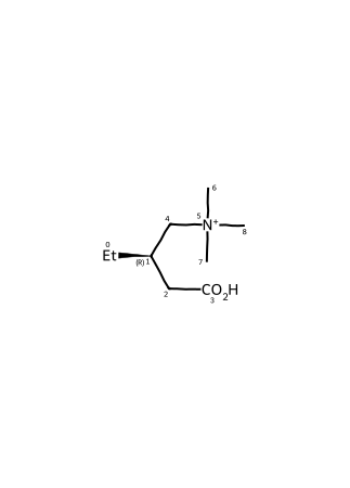 CC[C@H](CC(=O)O)C[N+](C)(C)C